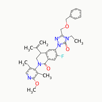 C=C(C)C1CN(c2c(C)cnc(OC)c2C)C(=O)c2cc(F)c(-n3nc(COCc4ccccc4)n(CC)c3=O)cc21